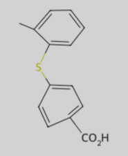 Cc1ccccc1Sc1ccc(C(=O)O)cc1